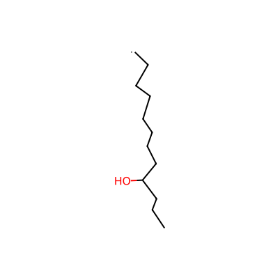 [CH2]CCCCCCCC(O)CCC